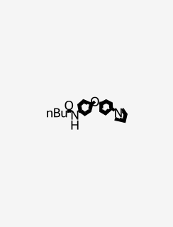 CCCCC(=O)Nc1ccc(Oc2ccc(-n3cccc3)cc2)cc1